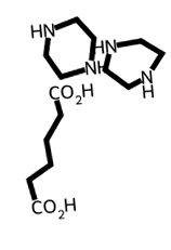 C1CNCCN1.C1CNCCN1.O=C(O)CCCCC(=O)O